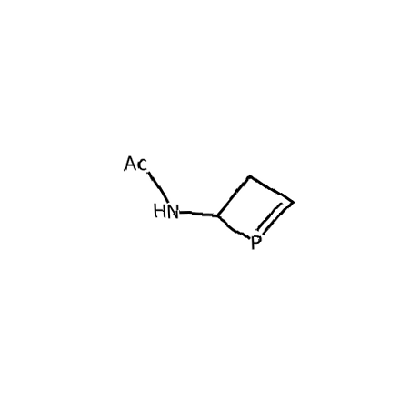 CC(=O)NC1CC=P1